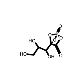 O=C1OP2(=O)OC1(C(O)C(O)CO)O2